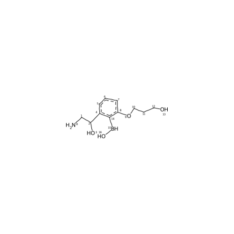 NCC(O)c1cccc(OCCCO)c1BO